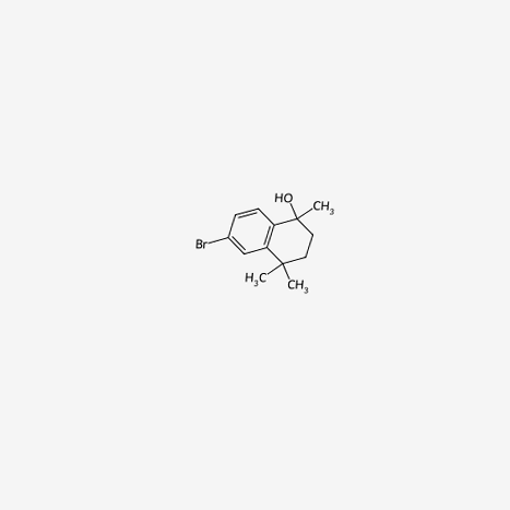 CC1(C)CCC(C)(O)c2ccc(Br)cc21